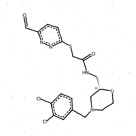 O=Cc1ccc(SCC(=O)NC[C@H]2CN(Cc3ccc(Cl)c(Cl)c3)CCO2)nn1